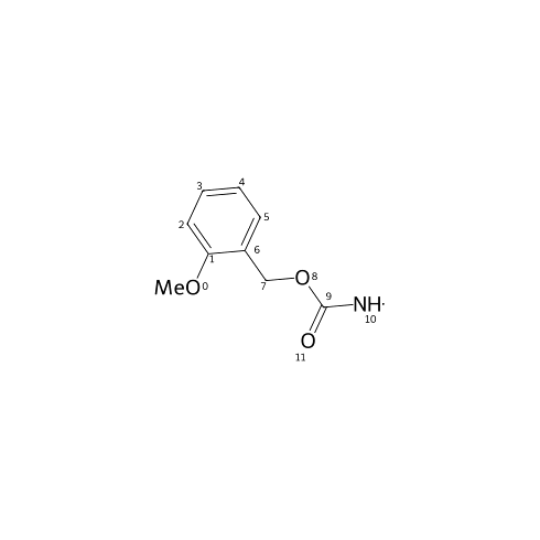 COc1ccccc1COC([NH])=O